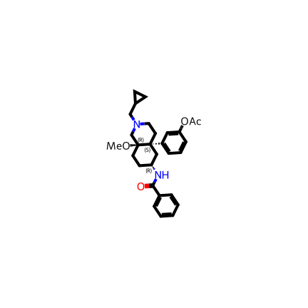 CO[C@]12CC[C@@H](NC(=O)c3ccccc3)C[C@]1(c1cccc(OC(C)=O)c1)CCN(CC1CC1)C2